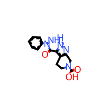 NN(C(=O)c1[nH]nc2c1CCN(C(=O)O)C2)c1ccccc1